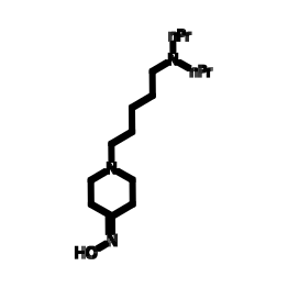 CCCN(CCC)CCCCCN1CCC(=NO)CC1